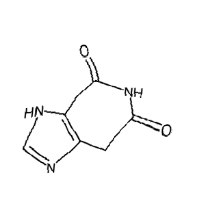 O=C1Cc2nc[nH]c2C(=O)N1